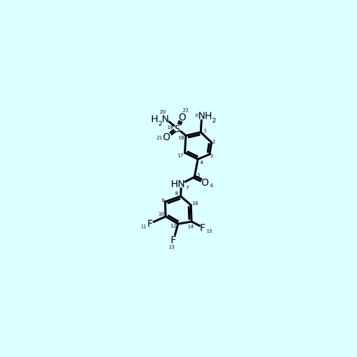 Nc1ccc(C(=O)Nc2cc(F)c(F)c(F)c2)cc1S(N)(=O)=O